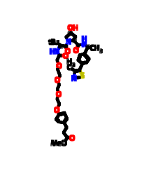 COC(=O)CCc1ccc(OCCOCCOCCOCC(=O)N[C@H](C(=O)N2C[C@H](O)C[C@H]2C(=O)N[C@@H](C)c2ccc(-c3scnc3C)cc2)C(C)(C)C)cc1